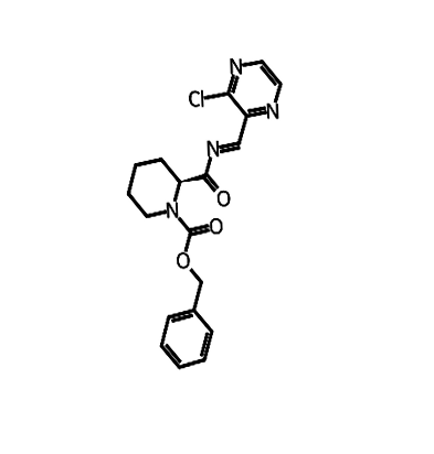 O=C(N=Cc1nccnc1Cl)[C@@H]1CCCCN1C(=O)OCc1ccccc1